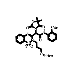 CCCCCCOCCCN1C(C(C(=O)Nc2ccccc2SC)N2C(=O)OC(C)(C)C2=O)=Nc2ccccc2S1(=O)=O